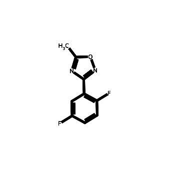 Cc1nc(-c2cc(F)ccc2F)no1